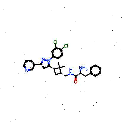 CC1(C)[C@@H](CNC(=O)C(N)Cc2ccccc2)C[C@H]1c1cc(-c2cccnc2)nn1-c1ccc(Cl)c(Cl)c1